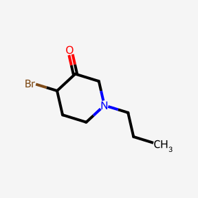 CCCN1CCC(Br)C(=O)C1